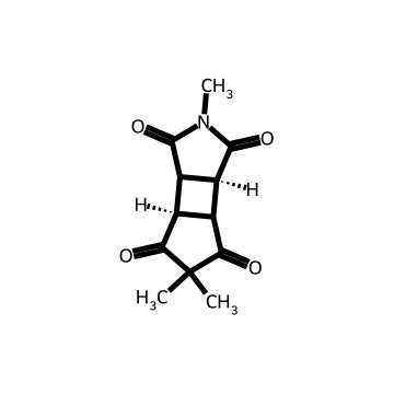 CN1C(=O)C2[C@@H](C1=O)C1C(=O)C(C)(C)C(=O)[C@@H]21